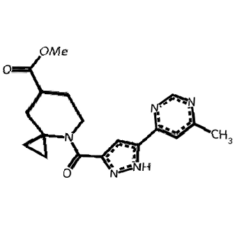 COC(=O)C1CCN(C(=O)c2cc(-c3cc(C)ncn3)[nH]n2)C2(CC2)C1